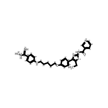 CCc1sc(NC(=O)c2cccnc2)nc1-c1ccc(OCCCCCOc2ccc(C(=N)NO)cc2)cc1